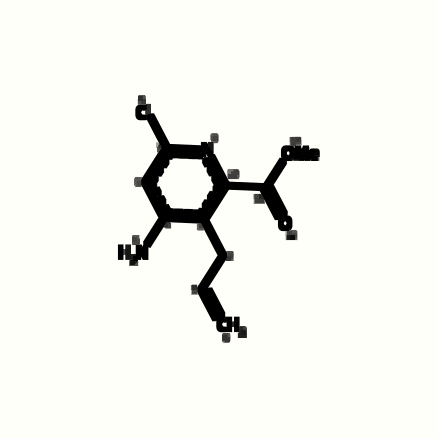 C=CCc1c(N)cc(Cl)nc1C(=O)OC